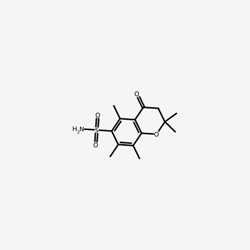 Cc1c(C)c(S(N)(=O)=O)c(C)c2c1OC(C)(C)CC2=O